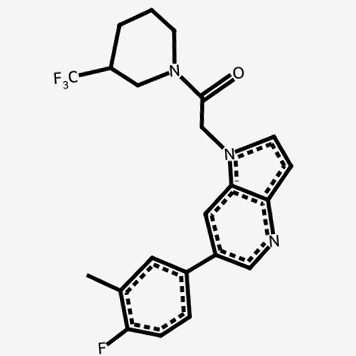 Cc1cc(-c2cnc3ccn(CC(=O)N4CCCC(C(F)(F)F)C4)c3c2)ccc1F